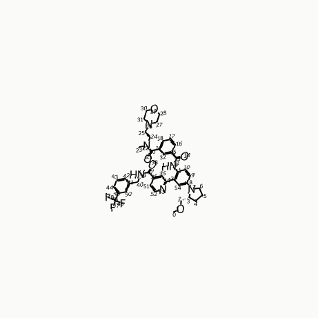 COC[C@H]1CCCN1c1ccc(NC(=O)c2cccc(C(=O)N(C)CCN3CCOCC3)c2)c(-c2cc(C(=O)NCc3cccc(C(F)(F)F)c3)ccn2)c1